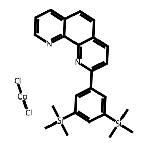 C[Si](C)(C)c1cc(-c2ccc3ccc4cccnc4c3n2)cc([Si](C)(C)C)c1.[Cl][Co][Cl]